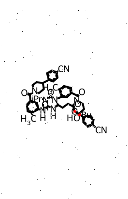 Cc1ccc(C(=O)N2CCC(c3ccc(C#N)cc3)CC2)cc1NC(=O)NC(CCC(=O)OC(C)(C)C)N(C(=O)NC(C)C)c1cc(C(=O)N2CCC(O)(c3ccc(C#N)cc3)CC2)ccc1C